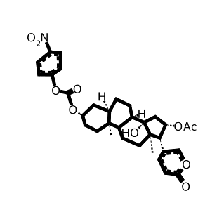 CC(=O)O[C@H]1C[C@]2(O)[C@@H]3CC[C@@H]4C[C@@H](OC(=O)Oc5ccc([N+](=O)[O-])cc5)CC[C@]4(C)C3CC[C@]2(C)[C@H]1c1ccc(=O)oc1